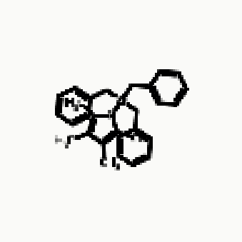 Cc1c(C)c(C)[n]([Zr]([CH2]c2ccccc2)([CH2]c2ccccc2)[CH2]c2ccccc2)c1C